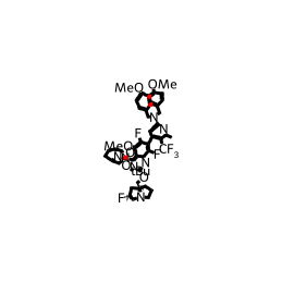 COc1ccc(CN(Cc2ccc(OC)cc2)c2cc(-c3c(F)c(OC)c4c(N5CC6CCC(C5)N6C(=O)OC(C)(C)C)nc(OC[C@@]56CCCN5C[C@H](F)C6)nc4c3F)c(C(F)(F)F)c(C)n2)cc1